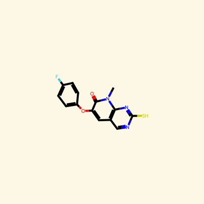 Cn1c(=O)c(Oc2ccc(F)cc2)cc2cnc(S)nc21